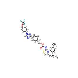 Cc1ccc2c(c1)N1C(=CC2C)CS/C1=N\C(=O)OCCc1ccc(-c2ncn(-c3ccc(OC(F)(F)F)cc3)n2)cc1